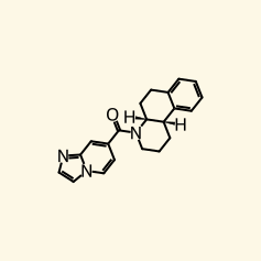 O=C(c1ccn2ccnc2c1)N1CCC[C@H]2c3ccccc3CC[C@H]21